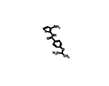 CC(C)Oc1ccc(C(=O)Nc2sccc2N)cc1